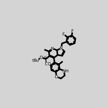 CC1=NC2C(C=CN2Cc2cccc(F)c2F)C(c2ccc3c(c2C)NCCO3)=C1[C@H](OC(C)(C)C)C(=O)O